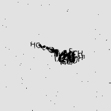 C[C@]1(C(O)O)CSC(c2ccc(OCCOCCOCCCO)cc2O)=N1